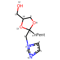 CCCCCC1(Cn2ccnc2)OCC(CO)O1